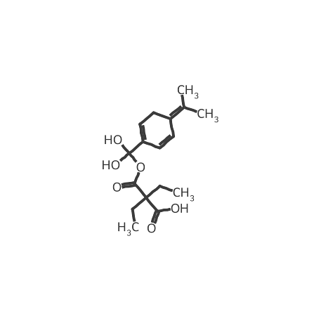 CCC(CC)(C(=O)O)C(=O)OC(O)(O)C1=CCC(=C(C)C)C=C1